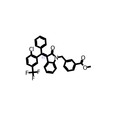 COC(=O)c1cccc(CN2C(=O)/C(=C(\c3ccccc3)c3cc(C(F)(F)F)ccc3Cl)c3ccccc32)c1